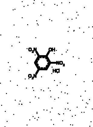 Cl.O=[N+]([O-])c1cc([N+](=O)[O-])c(O)c([N+](=O)[O-])c1